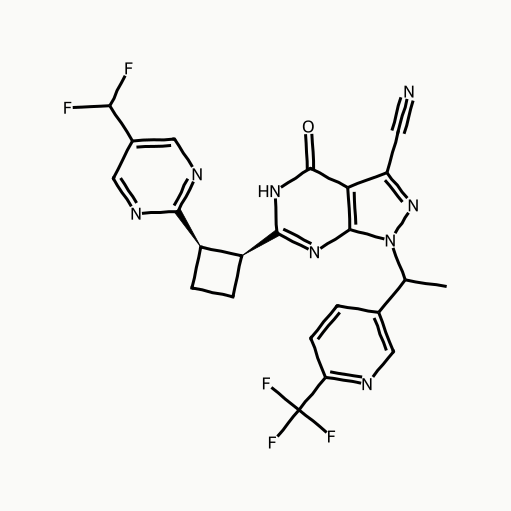 CC(c1ccc(C(F)(F)F)nc1)n1nc(C#N)c2c(=O)[nH]c([C@H]3CC[C@H]3c3ncc(C(F)F)cn3)nc21